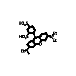 CCN(C)c1ccc2c(-c3ccc(S(=O)(=O)O)cc3S(=O)(=O)O)c3ccc(=[N+](CC)CC)cc-3oc2c1